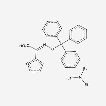 CCN(CC)CC.O=C(O)C(=NOC(c1ccccc1)(c1ccccc1)c1ccccc1)c1ccco1